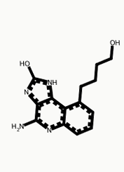 Nc1nc2cccc(CCCCO)c2c2[nH]c(O)nc12